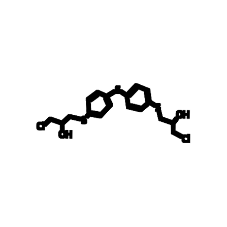 OC(CCl)CSc1ccc(Sc2ccc(SCC(O)CCl)cc2)cc1